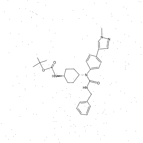 Cn1cc(-c2ccc(N(C(=O)NCc3ccccc3)[C@H]3CC[C@H](NC(=O)OC(C)(C)C)CC3)cc2)cn1